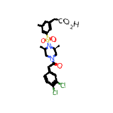 Cc1cc(CC(=O)O)cc(S(=O)(=O)N2C(C)CN(C(=O)Cc3ccc(Cl)c(Cl)c3)C[C@@H]2C)c1